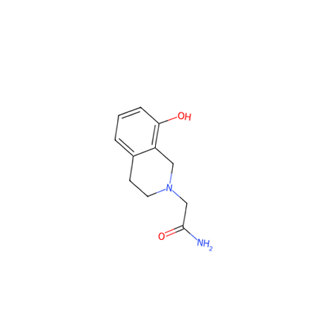 NC(=O)CN1CCc2cccc(O)c2C1